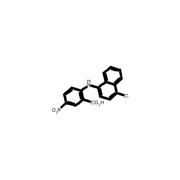 O=C(O)c1cc([N+](=O)[O-])ccc1Nc1ccc(Cl)c2ccccc12